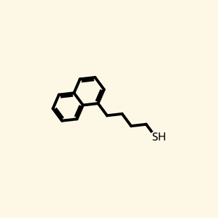 SCCCCc1cccc2ccccc12